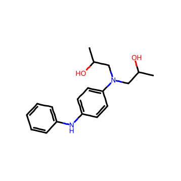 CC(O)CN(CC(C)O)c1ccc(Nc2ccccc2)cc1